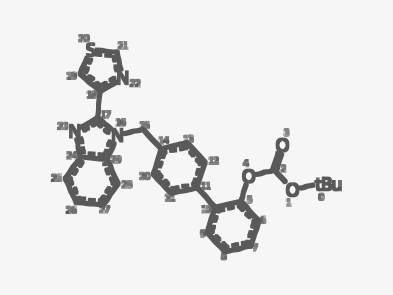 CC(C)(C)OC(=O)Oc1ccccc1-c1ccc(Cn2c(-c3cscn3)nc3ccccc32)cc1